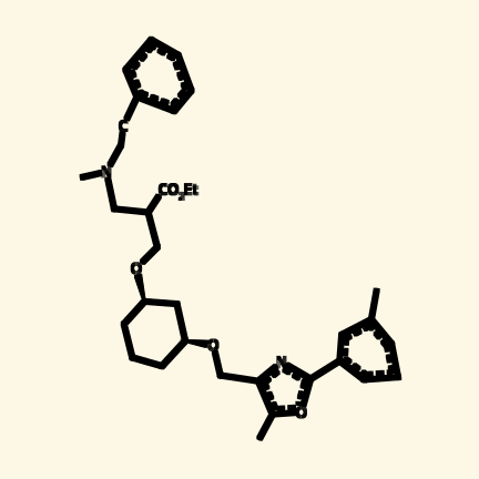 CCOC(=O)C(CO[C@@H]1CCC[C@H](OCc2nc(-c3cccc(C)c3)oc2C)C1)CN(C)CCc1ccccc1